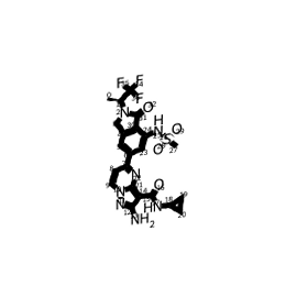 C[C@H](N1Cc2cc(-c3ccn4nc(N)c(C(=O)NC5CC5)c4n3)cc(NS(C)(=O)=O)c2C1=O)C(F)(F)F